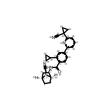 N#CN1[C@H]2CC[C@@H]1[C@H](NC(=O)c1ccc(-c3cccc(C4(C#N)CC4)n3)cc1C1CC1)C2